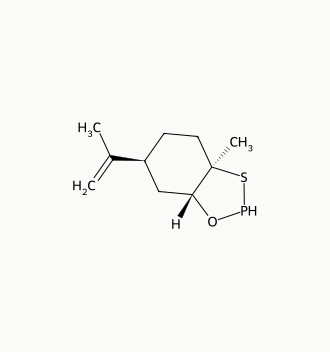 C=C(C)[C@H]1CC[C@@]2(C)SPO[C@@H]2C1